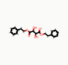 O=C(OCCc1ccccc1)C(O)C(O)C(=O)OCCc1ccccc1